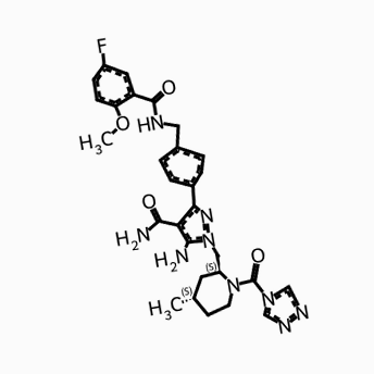 COc1ccc(F)cc1C(=O)NCc1ccc(-c2nn(C[C@@H]3C[C@@H](C)CCN3C(=O)n3cnnc3)c(N)c2C(N)=O)cc1